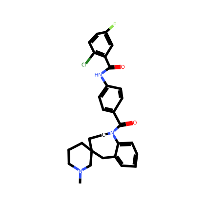 CN1CCCC2(CCN(C(=O)c3ccc(NC(=O)c4cc(F)ccc4Cl)cc3)c3ccccc3C2)C1